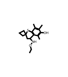 CCONC1CC2(CCC2)Sc2c(C)c(C)c(O)c(C)c21